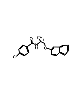 CC(COc1ccc2ccccc2c1)NC(=O)c1ccc(Cl)cc1